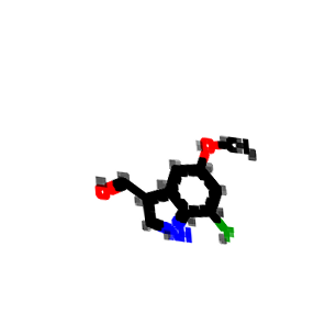 COc1cc(F)c2[nH]cc(C=O)c2c1